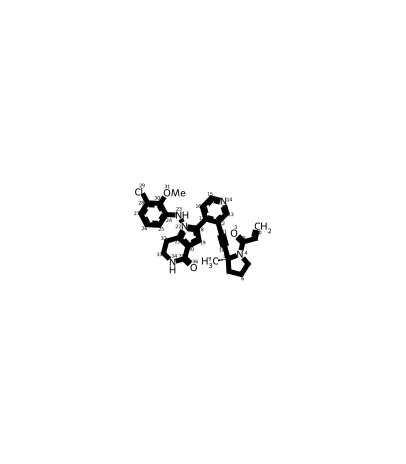 C=CC(=O)N1CCC[C@@]1(C)C#Cc1cnccc1-c1cc2c(n1Nc1cccc(Cl)c1OC)CCNC2=O